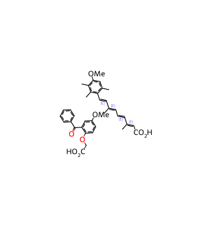 COc1cc(C)c(/C=C/C(C)=C/C=C/C(C)=C/C(=O)O)c(C)c1C.COc1ccc(OCC(=O)O)c(C(=O)c2ccccc2)c1